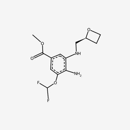 COC(=O)c1cc(NC[C@@H]2CCO2)c(N)c(OC(F)F)c1